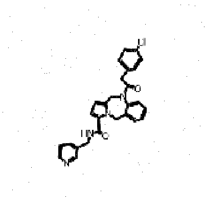 O=C(NCc1cccnc1)c1ccc2n1Cc1ccccc1N(C(=O)Cc1ccc(Cl)cc1)C2